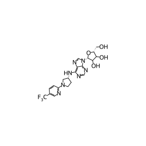 OC[C@H]1O[C@@H](n2cnc3c(N[C@@H]4CCN(c5ccc(C(F)(F)F)cn5)C4)ncnc32)C(O)C1O